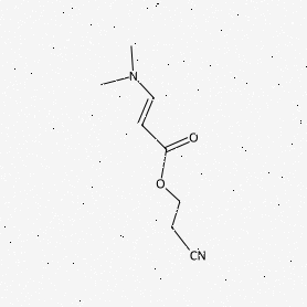 CN(C)C=CC(=O)OCCC#N